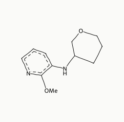 COc1ncccc1NC1CCCOC1